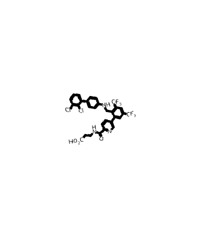 O=C(O)CCNC(=O)c1ccc(-c2cc(C(F)(F)F)cc(C(F)(F)F)c2CNc2ccc(-c3cccc(Cl)c3Cl)cc2)cn1